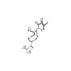 COC1COCC1c1ccc(C(=O)NCc2c(C)cc(C)[nH]c2=O)cc1